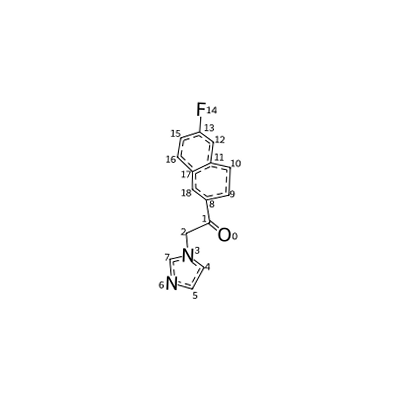 O=C(Cn1ccnc1)c1ccc2cc(F)ccc2c1